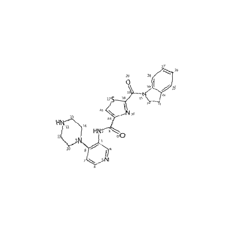 O=C(Nc1cnccc1N1CCNCC1)c1csc(C(=O)N2CCc3ccccc32)n1